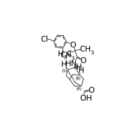 Cc1cc(Cl)ccc1OC(C)(C)C(=O)N[C@H]1[C@@H]2CC3C[C@H]1C[C@](C(=O)O)(C3)C2